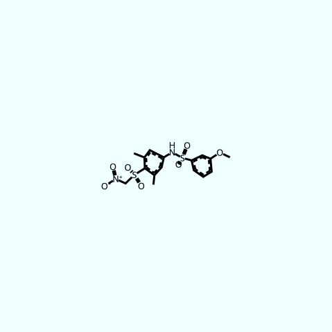 COc1cccc(S(=O)(=O)Nc2cc(C)c(S(=O)(=O)C[N+](=O)[O-])c(C)c2)c1